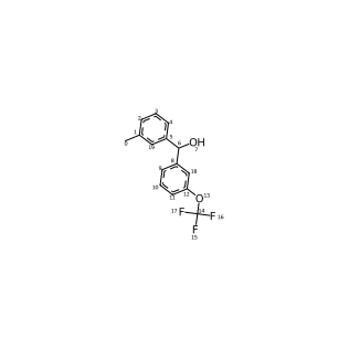 Cc1cccc(C(O)c2cccc(OC(F)(F)F)c2)c1